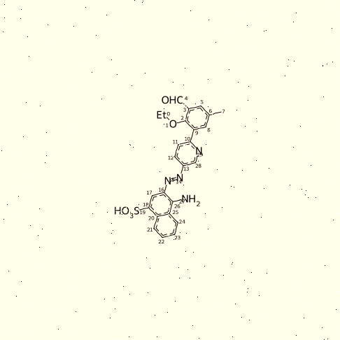 CCOc1c(C=O)cc(C)cc1-c1ccc(N=Nc2cc(S(=O)(=O)O)c3ccccc3c2N)cn1